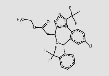 CCOC(=O)C[C@@H]1O[C@@H](c2ccccc2C(F)(F)F)c2cc(Cl)ccc2-n2c1nnc2C(F)(F)F